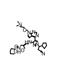 C[Si](C)(C)CCOCn1ccc2c(-c3cn(C(CC#N)C4CCCC4)nc3NC/C=C(\C=O)CNOC3CCCCO3)ncnc21